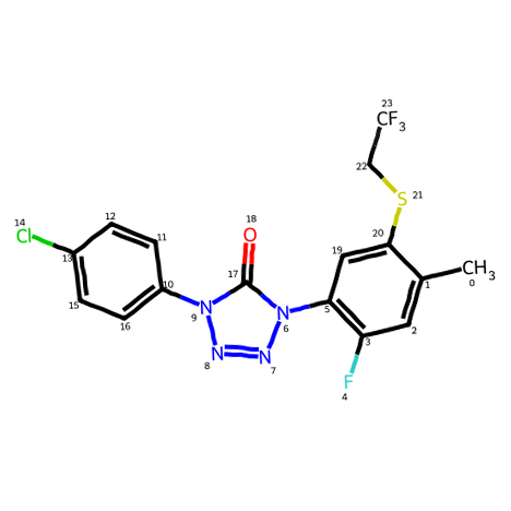 Cc1cc(F)c(-n2nnn(-c3ccc(Cl)cc3)c2=O)cc1SCC(F)(F)F